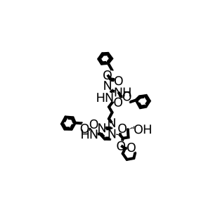 O=C(/N=C(/NCCCC/N=c1\nc(NC(=O)OCc2ccccc2)ccn1[C@@H]1O[C@H](CO)CC1OC1CCCCO1)NC(=O)OCc1ccccc1)OCc1ccccc1